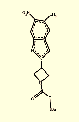 Cc1cc2cn(C3CN(C(=O)OC(C)(C)C)C3)nc2cc1[N+](=O)[O-]